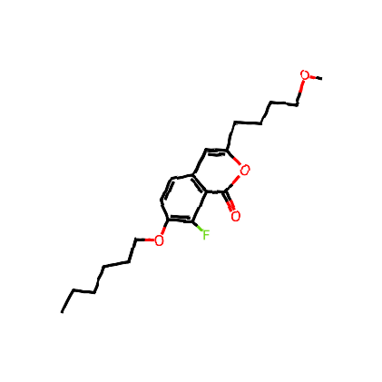 CCCCCCOc1ccc2cc(CCCCOC)oc(=O)c2c1F